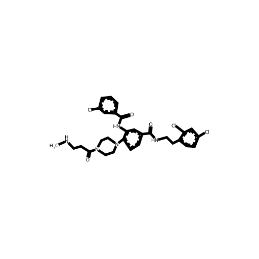 CNCCC(=O)N1CCN(c2ccc(C(=O)NCCc3ccc(Cl)cc3Cl)cc2NC(=O)c2cccc(Cl)c2)CC1